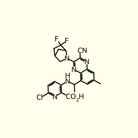 Cc1cc(C(C)Nc2ccc(Cl)nc2C(=O)O)c2nc(N3CC4CC3C(F)(F)C4)c(C#N)nc2c1